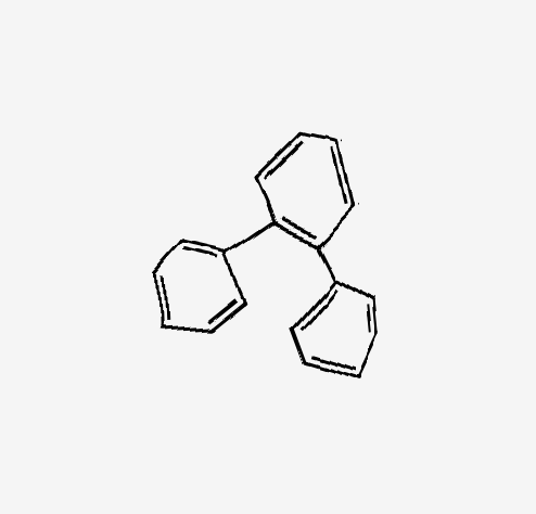 [c]1[c]c(-c2ccccc2)c(-c2ccccc2)cc1